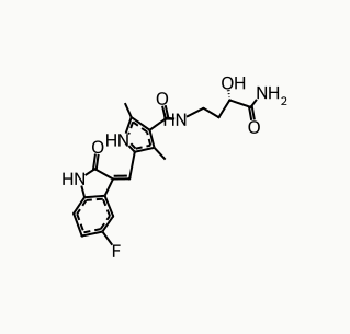 Cc1[nH]c(/C=C2\C(=O)Nc3ccc(F)cc32)c(C)c1C(=O)NCC[C@H](O)C(N)=O